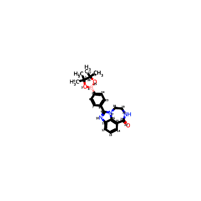 CC1(C)OB(c2ccc(-c3nc4cccc5c4n3CCNC5=O)cc2)OC1(C)C